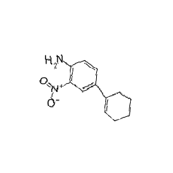 Nc1ccc(C2=CCCCC2)cc1[N+](=O)[O-]